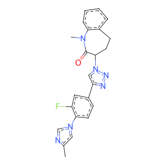 Cc1cn(-c2ccc(-c3cn(C4CCc5ccccc5N(C)C4=O)nn3)cc2F)cn1